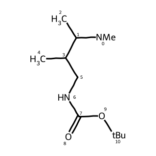 CNC(C)C(C)CNC(=O)OC(C)(C)C